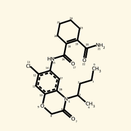 CCCC(C)N1C(=O)COc2cc(Cl)c(NC(=O)C3=C(C(N)=O)CCCC3)cc21